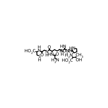 CC(O)C(N)C(=O)O.N=C(N)NCCCC(NC(=O)CN)C(=O)NCC(=O)NC(CS)C(=O)O.O=C(O)[C@@H]1CCCN1